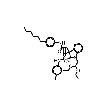 CCCCCCc1ccc(NC(=O)CC2(NC(=O)Nc3ccc(C)cc3)C(=O)N(CC(OCC)OCC)c3ccccc32)cc1